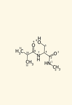 CNC(=O)C(CO)NC(=O)C(C)C